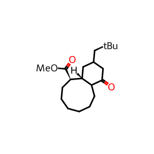 COC(=O)[C@@H]1CCCCCCC2C(=O)CC(CC(C)(C)C)C[C@H]21